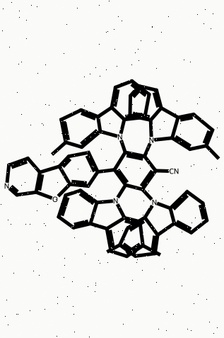 Cc1ccc2c3ccccc3n(-c3c(C#N)c(-n4c5ccccc5c5ccc(C)cc54)c(-n4c5ccccc5c5ccc(C)cc54)c(-c4ccc5c(c4)oc4cnccc45)c3-n3c4ccccc4c4ccc(C)cc43)c2c1